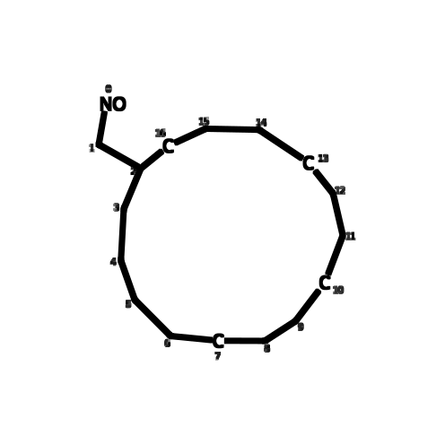 O=NCC1CCCCCCCCCCCCCC1